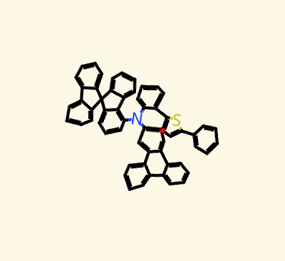 c1ccc(-c2ccc(-c3ccccc3N(c3ccc4c5ccccc5c5ccccc5c4c3)c3cccc4c3-c3ccccc3C43c4ccccc4-c4ccccc43)s2)cc1